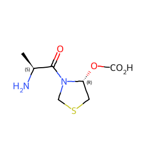 C[C@H](N)C(=O)N1CSC[C@H]1OC(=O)O